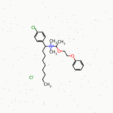 CCCCCCCCC(c1ccc(Cl)cc1)[N+](C)(C)C(C)OCCOc1ccccc1.[Cl-]